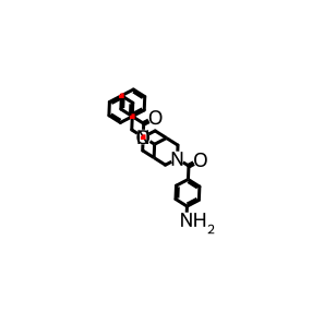 Nc1ccc(C(=O)N2CC3CN(Cc4ccccc4)CC(C2)C3OC(=O)c2ccccc2)cc1